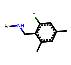 Cc1cc(C)c(CNC(C)C)c(F)c1